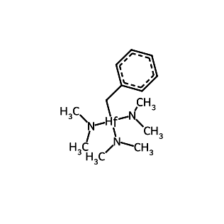 C[N](C)[Hf]([CH2]c1ccccc1)([N](C)C)[N](C)C